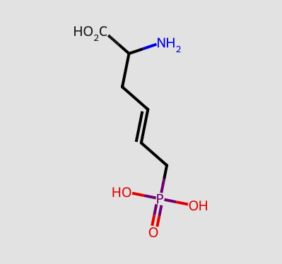 NC(C/C=C/CP(=O)(O)O)C(=O)O